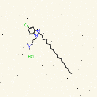 CCCCCCCCCCCCCCCCCc1nc2cc(Cl)ccc2n1CCCN(C)C.Cl